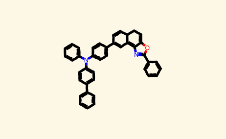 C1=CC2CC=c3oc(-c4ccccc4)nc3=C2C=C1c1ccc(N(c2ccccc2)c2ccc(-c3ccccc3)cc2)cc1